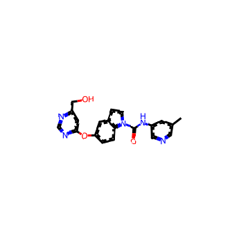 Cc1cncc(NC(=O)n2ccc3cc(Oc4cc(CO)ncn4)ccc32)c1